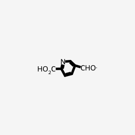 O=[C]c1ccc(C(=O)O)nc1